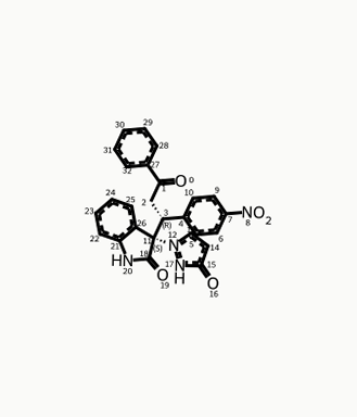 O=C(C[C@H](c1ccc([N+](=O)[O-])cc1)[C@@]1(n2ccc(=O)[nH]2)C(=O)Nc2ccccc21)c1ccccc1